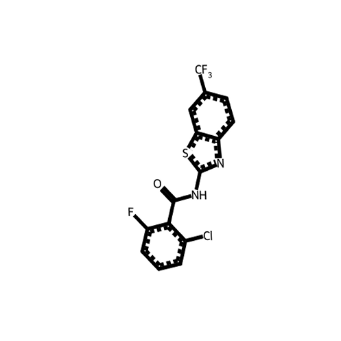 O=C(Nc1nc2ccc(C(F)(F)F)cc2s1)c1c(F)cccc1Cl